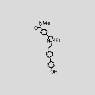 CCn1cc(-c2ccc(C(=O)NC)cc2)nc1/C=C/c1ccc(-c2ccc(O)cc2)cc1